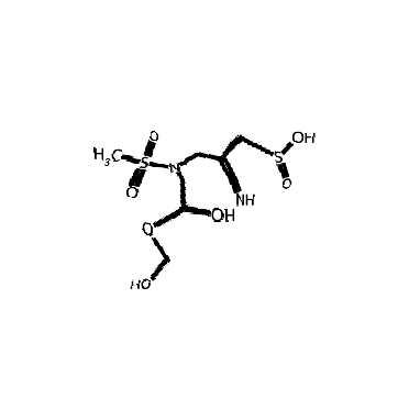 CS(=O)(=O)N(CC(=N)CS(=O)O)C(O)OCO